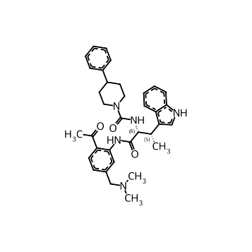 CC(=O)c1ccc(CN(C)C)cc1NC(=O)[C@H](NC(=O)N1CCC(c2ccccc2)CC1)[C@@H](C)c1c[nH]c2ccccc12